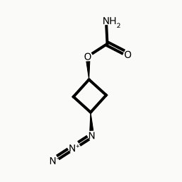 [N-]=[N+]=N[C@H]1C[C@@H](OC(N)=O)C1